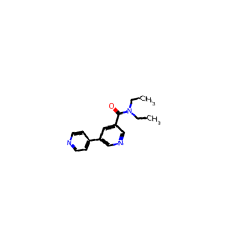 CCN(CC)C(=O)c1cncc(-c2ccncc2)c1